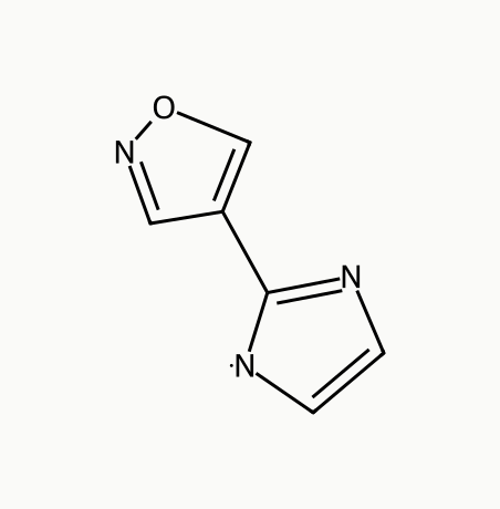 C1=CN=C(c2cnoc2)[N]1